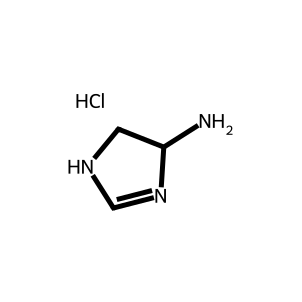 Cl.NC1CNC=N1